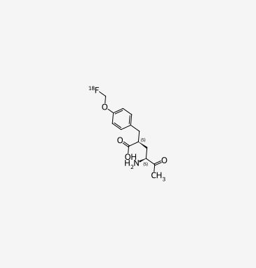 CC(=O)[C@@H](N)C[C@H](Cc1ccc(OC[18F])cc1)C(=O)O